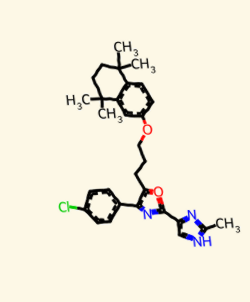 Cc1nc(-c2nc(-c3ccc(Cl)cc3)c(CCCOc3ccc4c(c3)C(C)(C)CCC4(C)C)o2)c[nH]1